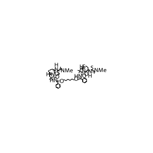 CN[C@@H](C)C(=S)N[C@H]1CCS[C@H]2CC(C)(C)C(C(=O)N[C@H](COCCCCCCOC[C@@H](NC(=O)[C@H]3N4C(=O)[C@@H](NC(=S)[C@H](C)NC)CCS[C@H]4CC3(C)C)c3ccccc3)c3ccccc3)N2C1=O